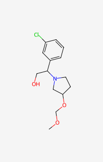 COCOC1CCN(C(CO)c2cccc(Cl)c2)C1